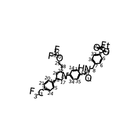 CCS(=O)(=O)c1ccc(CNC(=O)c2ccc(N3CC(c4ccc(C(F)(F)F)cc4)C[C@H]3CCOC(F)F)cc2)cc1